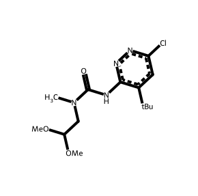 COC(CN(C)C(=O)Nc1nnc(Cl)cc1C(C)(C)C)OC